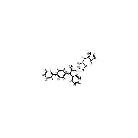 Cn1ccnc1CN1CC[C@H](n2c(=O)n(-c3ccc(-c4ccccc4)cc3)c3cccnc32)C1